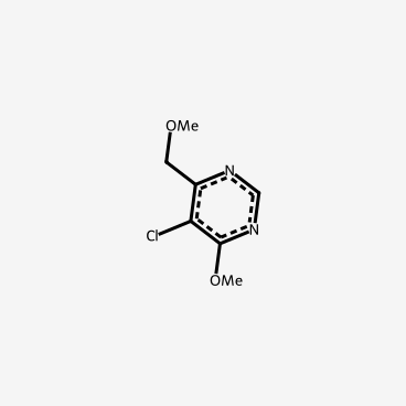 COCc1ncnc(OC)c1Cl